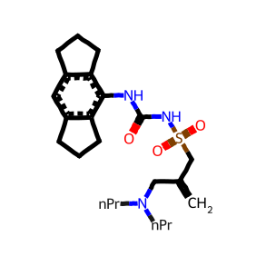 C=C(CN(CCC)CCC)CS(=O)(=O)NC(=O)Nc1c2c(cc3c1CCC3)CCC2